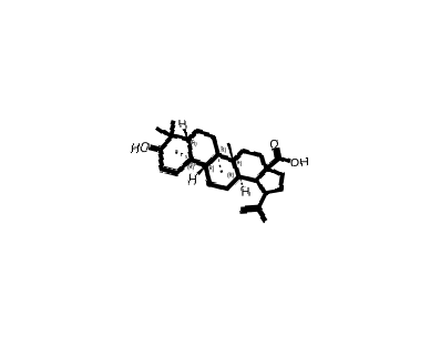 C=C(C)C1CCC2(C(=O)O)CC[C@]3(C)[C@H](CC[C@@H]4[C@@]5(C)CCC(O)C(C)(C)[C@@H]5CC[C@]43C)C12